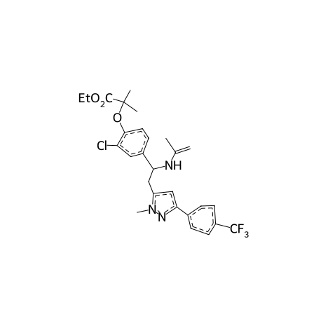 C=C(C)NC(Cc1cc(-c2ccc(C(F)(F)F)cc2)nn1C)c1ccc(OC(C)(C)C(=O)OCC)c(Cl)c1